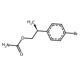 C[C@H](COC(N)=O)c1ccc(Br)cc1